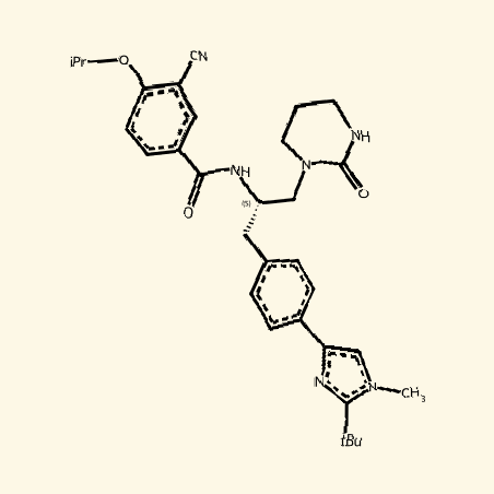 CC(C)Oc1ccc(C(=O)N[C@@H](Cc2ccc(-c3cn(C)c(C(C)(C)C)n3)cc2)CN2CCCNC2=O)cc1C#N